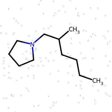 CCCCC(C)CN1CCCC1